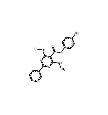 CNc1nc(-c2cccnc2)nc(NC)c1C(=O)Nc1ccc(O)cc1